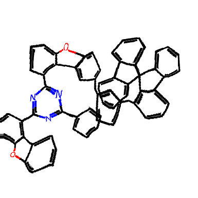 c1ccc(-c2nc(-c3cccc4oc5ccccc5c34)nc(-c3cccc4oc5ccc(-c6cccc(-c7cccc8c7C7(c9ccccc9-c9ccccc97)c7ccccc7-8)c6)cc5c34)n2)cc1